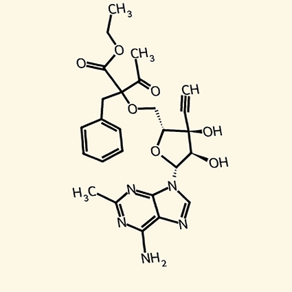 C#C[C@@]1(O)[C@@H](COC(Cc2ccccc2)(C(C)=O)C(=O)OCC)O[C@@H](n2cnc3c(N)nc(C)nc32)[C@@H]1O